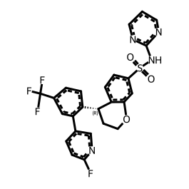 O=S(=O)(Nc1ncccn1)c1ccc2c(c1)OCC[C@@H]2c1ccc(C(F)(F)F)cc1-c1ccc(F)nc1